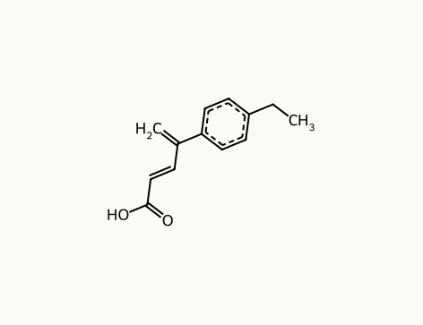 C=C(/C=C/C(=O)O)c1ccc(CC)cc1